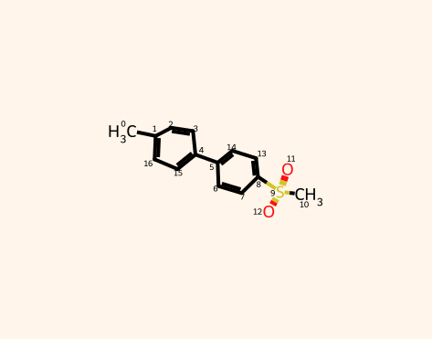 Cc1ccc(-c2ccc(S(C)(=O)=O)cc2)cc1